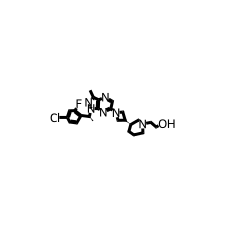 Cc1nn([C@H](C)c2ccc(Cl)cc2F)c2nc(N3CC([C@H]4CCCN(CCO)C4)C3)cnc12